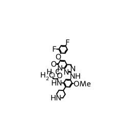 C=CC(=O)Nc1cc(Nc2ncc3cc(Oc4ccc(F)cc4F)c(=O)n(C)c3n2)c(OC)cc1C1CCNCC1